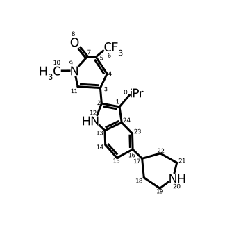 CC(C)c1c(-c2cc(C(F)(F)F)c(=O)n(C)c2)[nH]c2ccc(C3CCNCC3)cc12